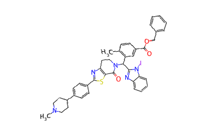 Cc1ccc(C(=O)OCc2ccccc2)cc1C(c1nc2ccccc2n1I)N1CCc2nc(-c3ccc(C4CCN(C)CC4)cc3)sc2C1=O